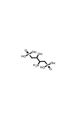 NC(CP(=O)(O)O)C(O)CP(=O)(O)O